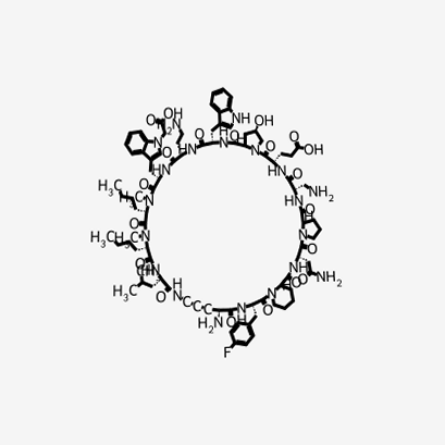 CCCC[C@H]1C(=O)N(C)[C@@H](CCCC)C(=O)N[C@@H](CC(C)C)C(=O)NCCC[C@@H](N)C(=O)N[C@@H](Cc2ccc(F)cc2)C(=O)N2CCCC[C@H]2C(=O)N[C@@H](CC(N)=O)C(=O)N2CCC[C@H]2C(=O)N[C@@H](CN)C(=O)N[C@@H](CCC(=O)O)C(=O)N2C[C@H](O)C[C@H]2C(=O)N[C@@H](Cc2c[nH]c3ccccc23)C(=O)N[C@@H](CCN)C(=O)N[C@@H](Cc2cn(CC(=O)O)c3ccccc23)C(=O)N1C